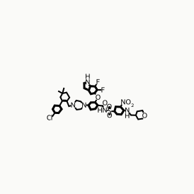 CC1(C)CCC(CN2CCN(c3ccc(C(=O)NS(=O)(=O)c4ccc(NCC5CCOCC5)c([N+](=O)[O-])c4)c(Oc4cc5cc[nH]c5c(F)c4F)c3)CC2)=C(c2ccc(Cl)cc2)C1